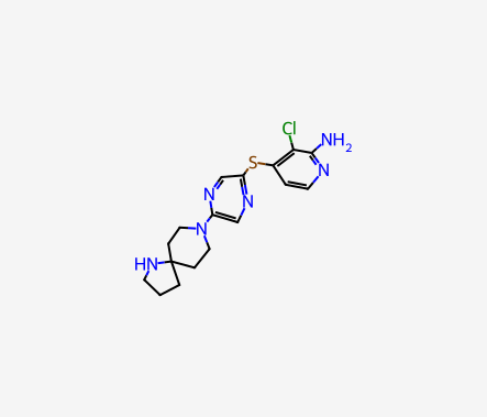 Nc1nccc(Sc2cnc(N3CCC4(CCCN4)CC3)cn2)c1Cl